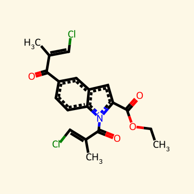 CCOC(=O)c1cc2cc(C(=O)C(C)=CCl)ccc2n1C(=O)C(C)=CCl